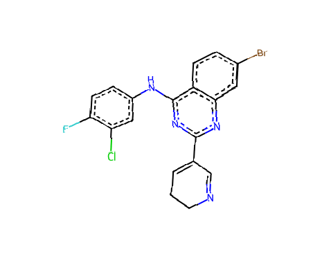 Fc1ccc(Nc2nc(C3=CCCN=C3)nc3cc(Br)ccc23)cc1Cl